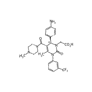 CC1=C(C(=O)N2CCN(C)CC2)[C@@H](c2ccc(N)cc2)N(CC(=O)O)C(=O)N1c1cccc(C(F)(F)F)c1